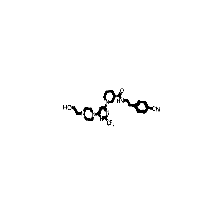 N#Cc1ccc(CCNC(=O)[C@@H]2CCCN(c3cc(N4CCN(CCO)CC4)nc(C(F)(F)F)n3)C2)cc1